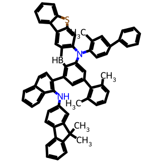 Cc1cc(-c2ccccc2)ccc1N1c2cc3sc4ccccc4c3cc2Bc2c(-c3ccc4ccccc4c3Nc3ccc4c(c3)C(C)(C)c3ccccc3-4)cc(-c3c(C)cccc3C)cc21